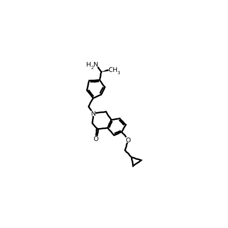 C[C@H](N)c1ccc(CN2CC(=O)c3cc(OCC4CC4)ccc3C2)cc1